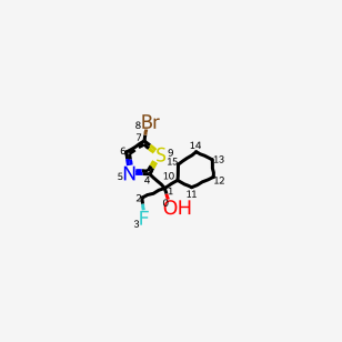 OC(CF)(c1ncc(Br)s1)C1CCCCC1